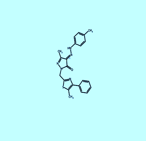 CC1=NN(Cc2nc(-c3ccccc3)c(C)s2)C(=O)/C1=N/Nc1ccc(C)cc1